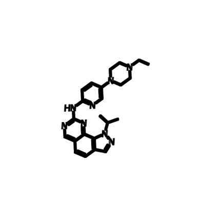 CCN1CCN(c2ccc(Nc3ncc4ccc5cnn(C(C)C)c5c4n3)nc2)CC1